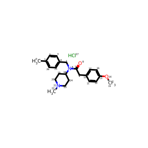 Cc1ccc(CN(C(=O)Cc2ccc(OC(F)(F)F)cc2)C2CCN(C)CC2)cc1.Cl